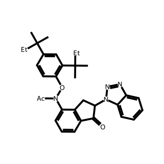 CCC(C)(C)c1ccc(ON(C(C)=O)c2cccc3c2CC(n2nnc4ccccc42)C3=O)c(C(C)(C)CC)c1